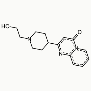 O=c1cc(C2CCN(CCO)CC2)nc2ccccn12